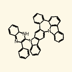 C1=CC2=NC(c3ccccc3)=C(n3c4ccccc4c4cc5c(cc43)-c3ccccc3-c3cccc4c6ccccc6n-5c34)NC2C=C1